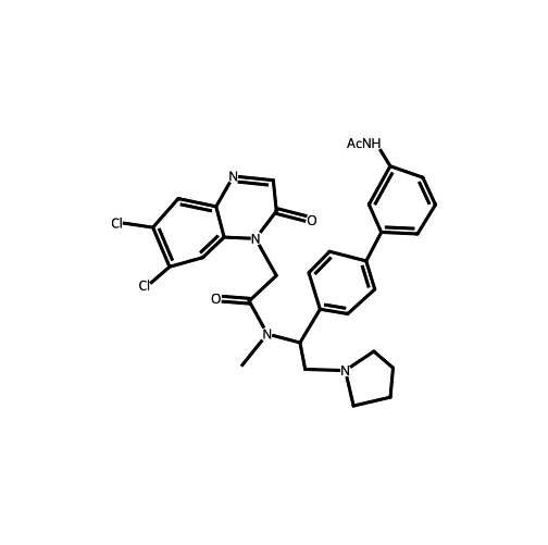 CC(=O)Nc1cccc(-c2ccc(C(CN3CCCC3)N(C)C(=O)Cn3c(=O)cnc4cc(Cl)c(Cl)cc43)cc2)c1